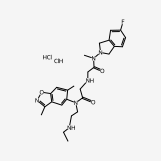 CCNCCN(C(=O)CNCC(=O)N(C)N1Cc2ccc(F)cc2C1)c1cc2c(C)noc2cc1C.Cl.Cl